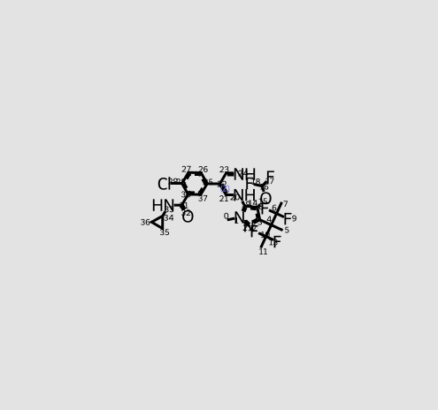 Cn1nc(C(C)(C(C)(F)F)C(C)(F)F)c(OC(F)F)c1N/C=C(\C=N)c1ccc(Cl)c(C(=O)NC2CC2)c1